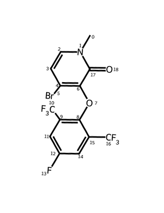 Cn1ccc(Br)c(Oc2c(C(F)(F)F)cc(F)cc2C(F)(F)F)c1=O